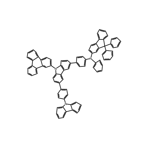 c1ccc(N(c2ccc(-c3ccc4c(c3)c3cc(-c5ccc(-n6c7ccccc7c7ccccc76)cc5)ccc3n4-c3ccc4c5ccccc5c5ccccc5c4c3)cc2)c2ccc3c(c2)C(c2ccccc2)(c2ccccc2)c2ccccc2-3)cc1